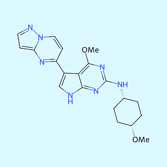 COc1nc(N[C@H]2CC[C@@H](OC)CC2)nc2[nH]cc(-c3ccn4nccc4n3)c12